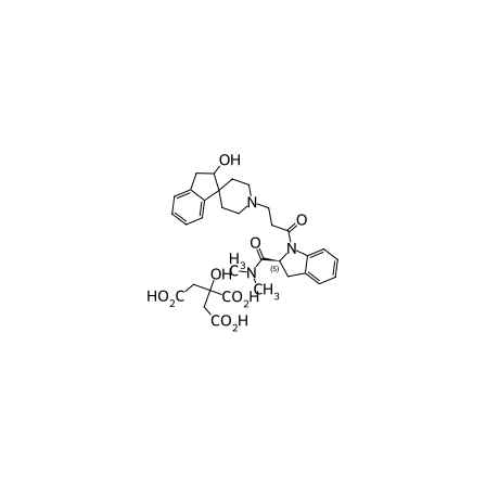 CN(C)C(=O)[C@@H]1Cc2ccccc2N1C(=O)CCN1CCC2(CC1)c1ccccc1CC2O.O=C(O)CC(O)(CC(=O)O)C(=O)O